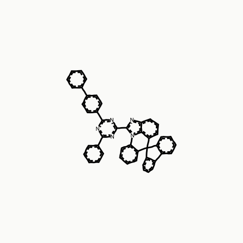 c1ccc(-c2ccc(-c3nc(-c4ccccc4)nc(-c4nc5cccc6c5n4-c4ccccc4C64c5ccccc5-c5ccccc54)n3)cc2)cc1